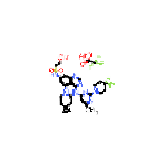 Cc1cc(Nc2ncnc3cc(NS(=O)(=O)CCO)cc(N4CCC5(CC4)CC5)c23)nc(N2CCC(F)(F)CC2)n1.O=C(O)C(F)(F)F